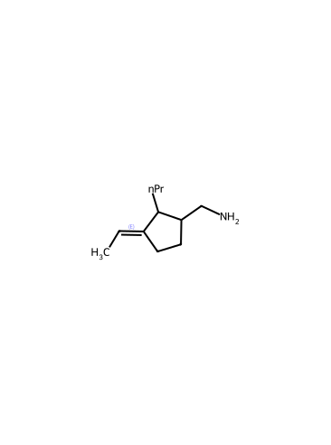 C/C=C1\CCC(CN)C1CCC